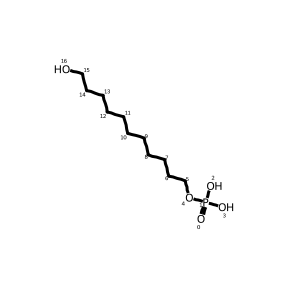 O=P(O)(O)OCCCCCCCCCCCO